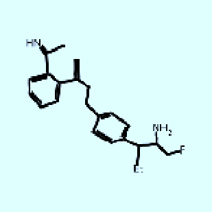 C=C(CCc1ccc(C(CC)C(N)CF)cc1)c1ccccc1C(C)=N